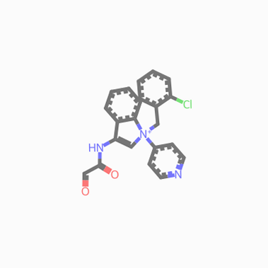 O=CC(=O)NC1=C[N+](Cc2ccccc2Cl)(c2ccncc2)c2ccccc21